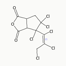 O=C1OC(=O)C2C1CC(Cl)(Cl)C2(Cl)/C(Cl)=C(/Cl)CCl